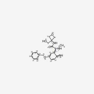 CN/C(C(=O)NC1(CO)COC1)=C1/C=C(OCc2ccccn2)C=CC1=N